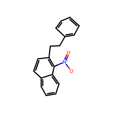 O=[N+]([O-])c1c(CCc2ccccc2)ccc2ccccc12